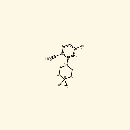 C#Cc1ccc(Br)nc1N1CCC2(CC1)CC2